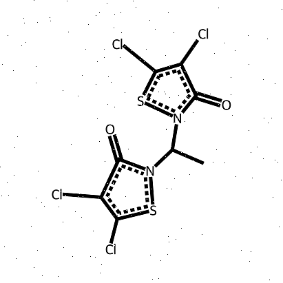 CC(n1sc(Cl)c(Cl)c1=O)n1sc(Cl)c(Cl)c1=O